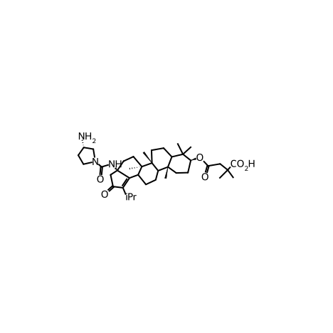 CC(C)C1=C2C3CCC4[C@@]5(C)CC[C@H](OC(=O)CC(C)(C)C(=O)O)C(C)(C)C5CC[C@@]4(C)[C@]3(C)CC[C@@]2(NC(=O)N2CC[C@H](N)C2)CC1=O